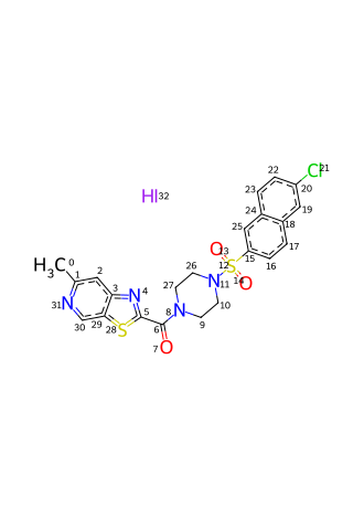 Cc1cc2nc(C(=O)N3CCN(S(=O)(=O)c4ccc5cc(Cl)ccc5c4)CC3)sc2cn1.I